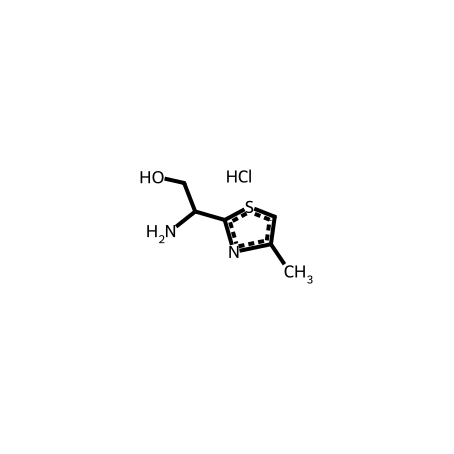 Cc1csc(C(N)CO)n1.Cl